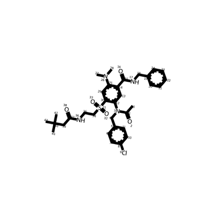 CC(=O)N(Cc1ccc(Cl)cc1)c1cc(C(=O)NCc2ccccc2)c(N(C)C)cc1S(=O)(=O)CCNC(=O)CC(C)(C)C